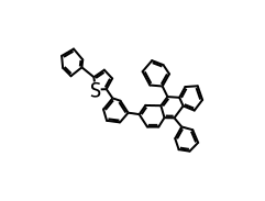 c1ccc(-c2ccc(-c3cccc(-c4ccc5c(-c6ccccc6)c6ccccc6c(-c6ccccc6)c5c4)c3)s2)cc1